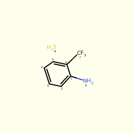 Nc1ccccc1C(F)(F)F.S